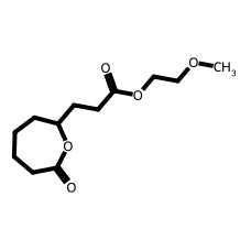 COCCOC(=O)CCC1CCCCC(=O)O1